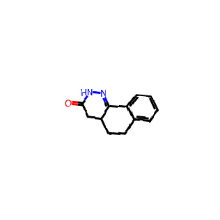 O=C1CC2CCc3ccccc3C2=NN1